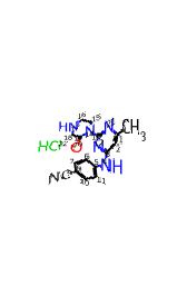 Cc1cc(Nc2ccc(C#N)cc2)nc(N2CCNCC2=O)n1.Cl